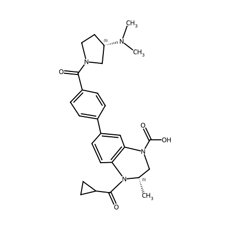 C[C@H]1CN(C(=O)O)c2cc(-c3ccc(C(=O)N4CC[C@H](N(C)C)C4)cc3)ccc2N1C(=O)C1CC1